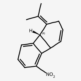 CC(C)=C1CC=CC2c3c(cccc3[N+](=O)[O-])[C@H]12